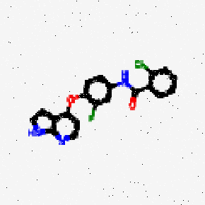 O=C(Nc1ccc(Oc2ccnc3[nH]ccc23)c(F)c1)c1ccccc1Cl